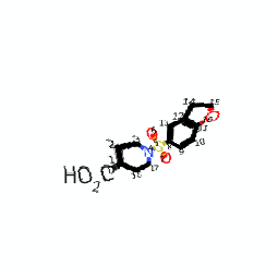 O=C(O)C1CCN(S(=O)(=O)c2ccc3c(c2)CCO3)CC1